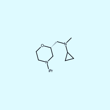 CC(C)N1CCO[C@H](CN(C)C2CC2)C1